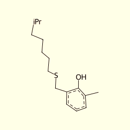 Cc1cccc(CSCCCCCC(C)C)c1O